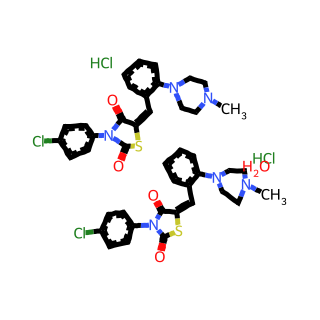 CN1CCN(c2ccccc2C=C2SC(=O)N(c3ccc(Cl)cc3)C2=O)CC1.CN1CCN(c2ccccc2C=C2SC(=O)N(c3ccc(Cl)cc3)C2=O)CC1.Cl.Cl.O